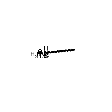 CCCCCCCCCC=CC=CC=CC=CC=CC(=O)N[C@@H](CCC(N)=O)C(=O)O